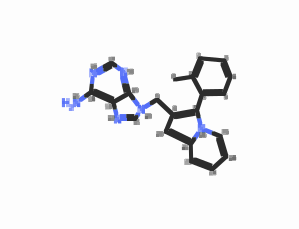 Cc1ccccc1-c1c(Cn2cnc3c(N)ncnc32)cc2ccccn12